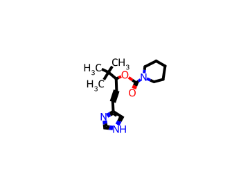 CC(C)(C)C(C#Cc1c[nH]cn1)OC(=O)N1CCCCC1